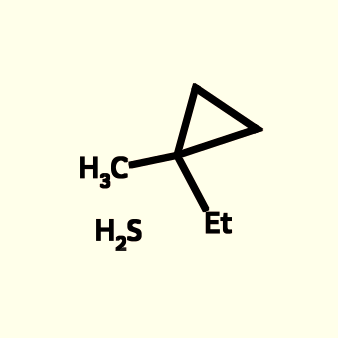 CCC1(C)CC1.S